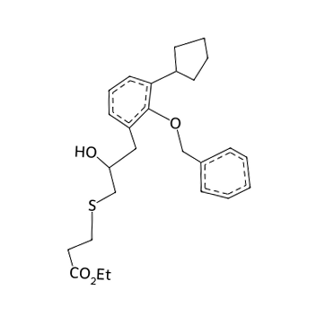 CCOC(=O)CCSCC(O)Cc1cccc(C2CCCC2)c1OCc1ccccc1